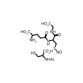 CC(=O)NC(CS)C(=O)O.NC(CCC(=O)NC(CSN=O)C(=O)NCC(=O)O)C(=O)O